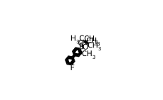 Cc1cc(-c2cccc(F)c2)ccc1B1OC(C)(C)C(C)(C)O1